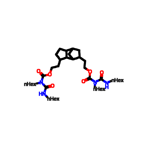 CCCCCCNC(=O)N(CCCCCC)C(=O)OCCC1CC2CC1C1C(CCOC(=O)N(CCCCCC)C(=O)NCCCCCC)CCC21